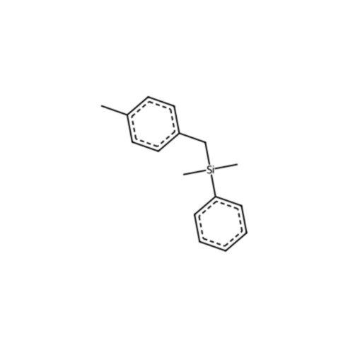 Cc1ccc(C[Si](C)(C)c2ccccc2)cc1